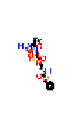 CC(C)[C@H](N)C(=O)N(CCC(=O)OCCNC(=O)OCc1ccccc1)[PH](=O)O